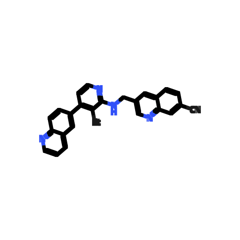 CCc1c(-c2ccc3ncccc3c2)ccnc1NCc1cnc2cc(C#N)ccc2c1